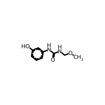 COCNC(=O)Nc1cccc(O)c1